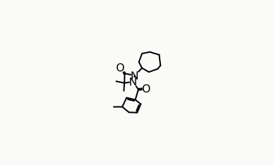 CC1C=C(C(=O)N2N(C3CCCCCCC3)C(=O)C2(C)C)C=CC1